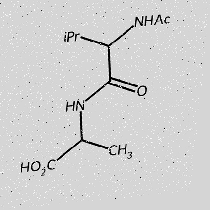 CC(=O)NC(C(=O)NC(C)C(=O)O)C(C)C